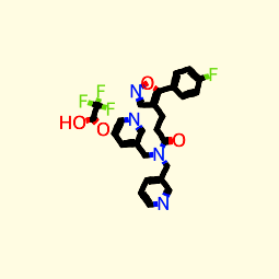 O=C(CCc1cnoc1-c1ccc(F)cc1)N(Cc1cccnc1)Cc1cccnc1.O=C(O)C(F)(F)F